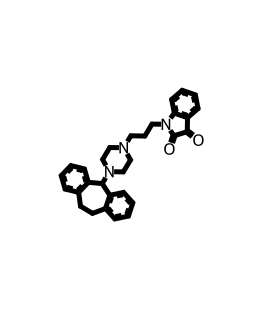 O=C1C(=O)N(CCCN2CCN(C3c4ccccc4CCc4ccccc43)CC2)c2ccccc21